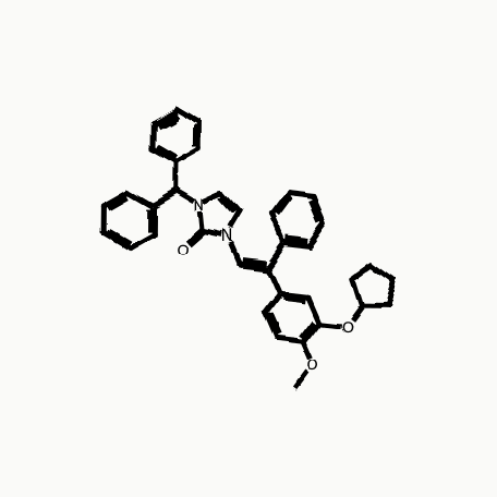 COc1ccc(C(=Cn2ccn(C(c3ccccc3)c3ccccc3)c2=O)c2ccccc2)cc1OC1CCCC1